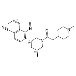 C=Nc1c([C@H]2C[C@H](C)CN(C(=O)CC3CCN(C)CC3)C2)ccc(C#N)c1/N=C\C